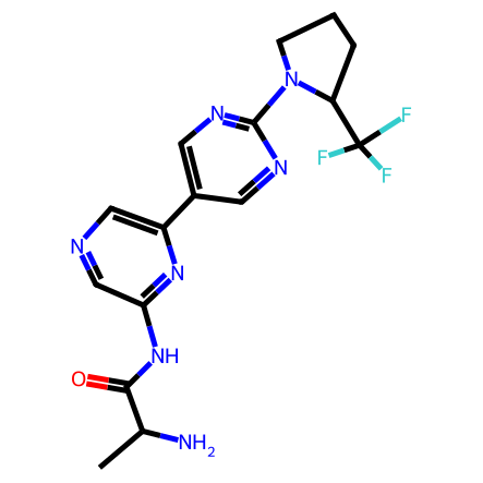 CC(N)C(=O)Nc1cncc(-c2cnc(N3CCCC3C(F)(F)F)nc2)n1